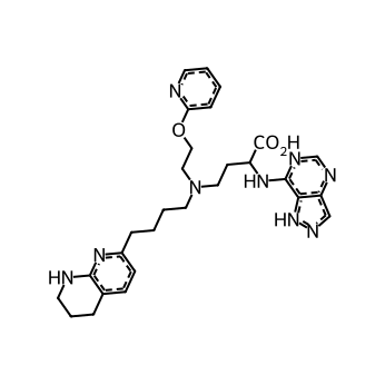 O=C(O)C(CCN(CCCCc1ccc2c(n1)NCCC2)CCOc1ccccn1)Nc1ncnc2cn[nH]c12